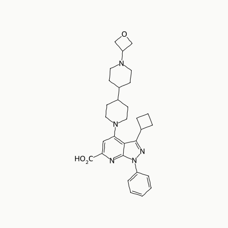 O=C(O)c1cc(N2CCC(C3CCN(C4COC4)CC3)CC2)c2c(C3CCC3)nn(-c3ccccc3)c2n1